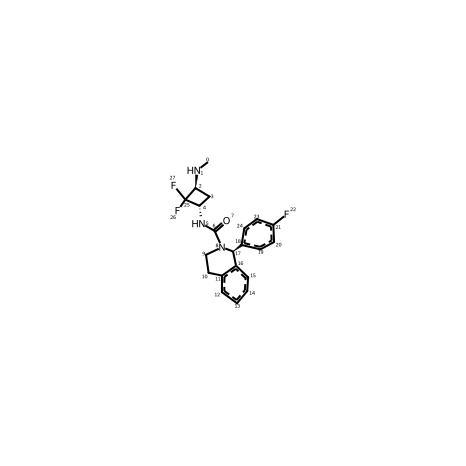 CN[C@H]1C[C@H](NC(=O)N2CCc3ccccc3[C@@H]2c2ccc(F)cc2)C1(F)F